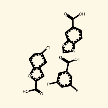 O=C(O)c1cc(F)cc(F)c1.O=C(O)c1cc2cc(Cl)ccc2o1.O=C(O)c1ccc2ncsc2c1